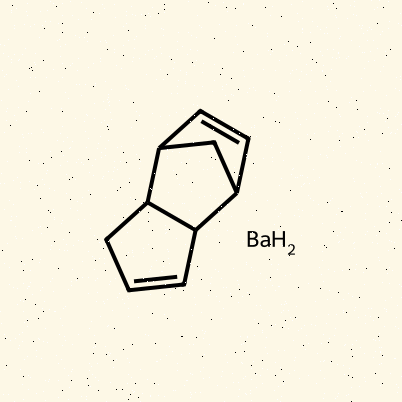 C1=CC2C3C=CC(C3)C2C1.[BaH2]